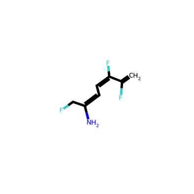 C=C(F)/C(F)=C\C=C(\N)CF